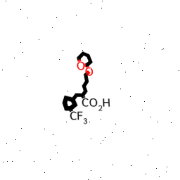 O=C(O)C(CCCCOC1CCCCO1)Cc1cccc(C(F)(F)F)c1